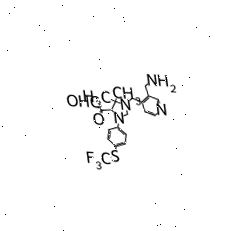 CC1(C)C(C(=O)C=O)N(c2ccc(SC(F)(F)F)cc2)CN1Cc1ccncc1CN